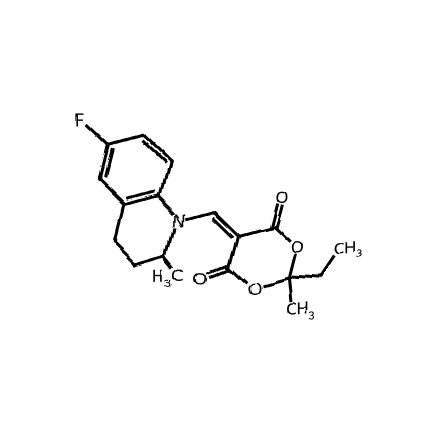 CCC1(C)OC(=O)C(=CN2c3ccc(F)cc3CCC2C)C(=O)O1